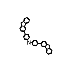 CN(c1ccc(-c2ccc3c(c2)-c2ccccc2C3)cc1)c1ccc(-c2ccc3c(c2)-c2ccccc2C3)cc1